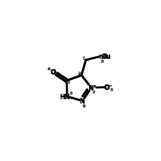 CCCCCC1C(=O)NN=[N+]1[O-]